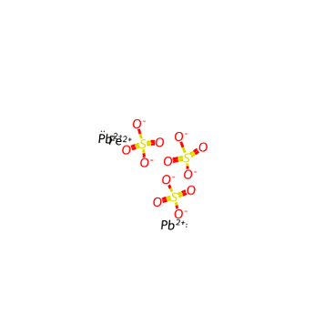 O=S(=O)([O-])[O-].O=S(=O)([O-])[O-].O=S(=O)([O-])[O-].[Fe+2].[Pb+2].[Pb+2]